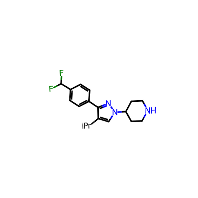 CC(C)c1cn(C2CCNCC2)nc1-c1ccc(C(F)F)cc1